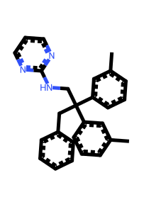 Cc1cccc(C(CNc2ncccn2)(Cc2ccccc2)c2cccc(C)c2)c1